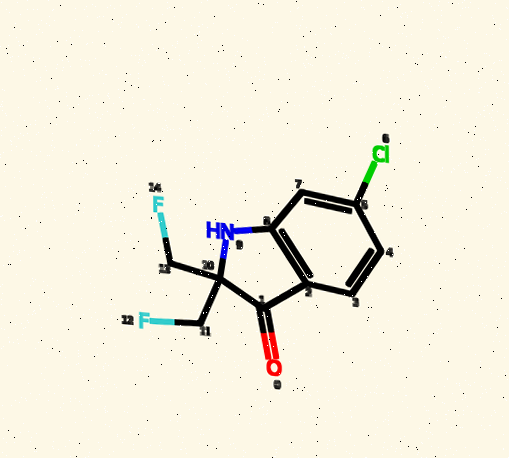 O=C1c2ccc(Cl)cc2NC1(CF)CF